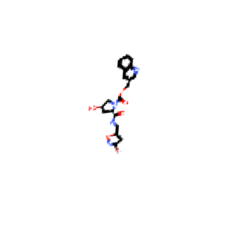 O=C(NCC1CC(Br)=NO1)[C@@H]1C[C@H](O)CN1C(=O)OCc1cnc2ccccc2c1